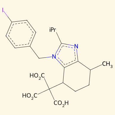 CC(C)c1nc2c(n1Cc1ccc(I)cc1)C(C(C(=O)O)(C(=O)O)C(=O)O)CCC2C